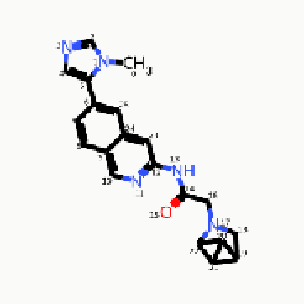 Cn1cncc1-c1ccc2cnc(NC(=O)CN3CC4C5C4C53)cc2c1